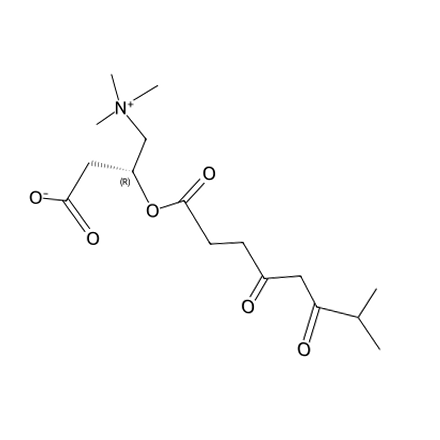 CC(C)C(=O)CC(=O)CCC(=O)O[C@H](CC(=O)[O-])C[N+](C)(C)C